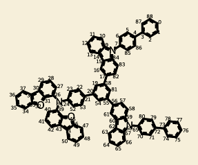 c1ccc(-c2ccc(-n3c4ccccc4c4cc(-c5cc(-c6ccc(N(c7cccc8c7oc7ccccc78)c7cccc8c7oc7ccccc78)cc6)cc(-c6ccc7c(c6)c6ccccc6n7-c6ccc(-c7ccccc7)cc6)c5)ccc43)cc2)cc1